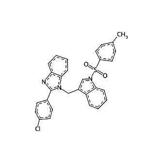 Cc1ccc(S(=O)(=O)n2cc(Cn3c(-c4ccc(Cl)cc4)nc4ccccc43)c3ccccc32)cc1